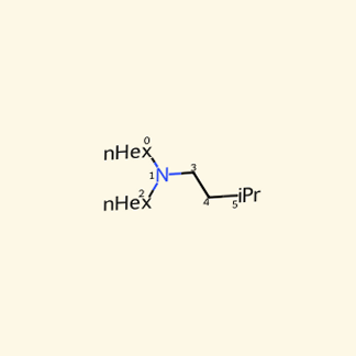 CCCCCCN(CCCCCC)CCC(C)C